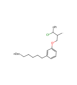 [CH2]C(COc1cccc(CCCCCCCCCCCCCCC)c1)C(Cl)CCC